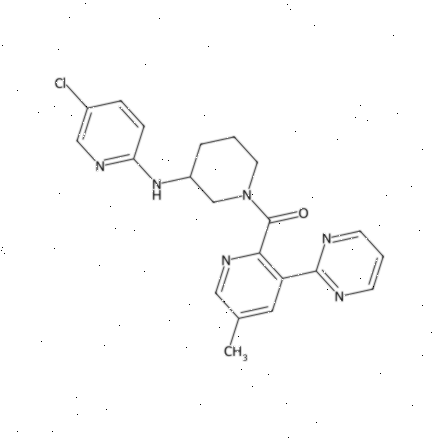 Cc1cnc(C(=O)N2CCCC(Nc3ccc(Cl)cn3)C2)c(-c2ncccn2)c1